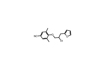 CCC(COc1c(C)cc(C#N)cc1C)Cc1ccco1